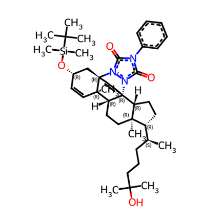 C[C@@H](CCCC(C)(C)O)[C@H]1CC[C@@H]2[C@]1(C)CC[C@H]1[C@@]23C=C[C@@]2(C[C@@H](O[Si](C)(C)C(C)(C)C)C=C[C@]12C)n1c(=O)n(-c2ccccc2)c(=O)n13